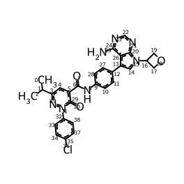 CC(C)c1cc(C(=O)Nc2ccc(-c3cn(C4COC4)c4ncnc(N)c34)cc2)c(=O)n(-c2ccc(Cl)cc2)n1